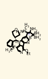 BC(B)(B)/C(N)=C(\c1cnc2c3c(OCC)ncc([S+](C)[O-])c3n([C@H](c3ccccc3)C3CCOCC3)c2c1)N(C)N